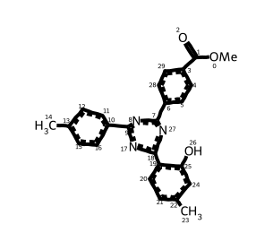 COC(=O)c1ccc(-c2nc(-c3ccc(C)cc3)nc(-c3ccc(C)cc3O)n2)cc1